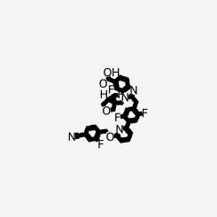 N#Cc1ccc(COc2cccc(-c3cc(F)c(Cc4nc5ccc(C(=O)O)cc5n4CC45COC[C@@H]4C5(F)F)cc3F)n2)c(F)c1